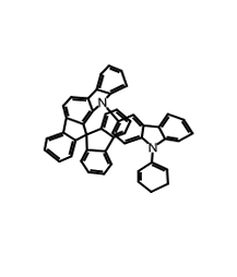 C1=CC(n2c3ccccc3c3cc(-n4c5ccccc5c5ccc6c(c54)C4(c5ccccc5-c5ccccc54)c4ccccc4-6)ccc32)=CCC1